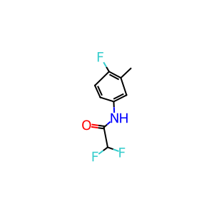 Cc1cc(NC(=O)C(F)F)ccc1F